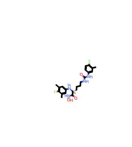 Cc1cc(NC(=O)NCCCC[C@@H](Nc2cc(C)c(F)c(C)c2)C(=O)NO)ccc1F